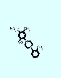 Cc1cc(N2CCN(c3ccccc3C)CC2)c(N=O)cc1C(=O)O